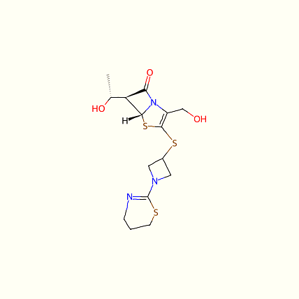 C[C@@H](O)[C@H]1C(=O)N2C(CO)=C(SC3CN(C4=NCCCS4)C3)S[C@H]12